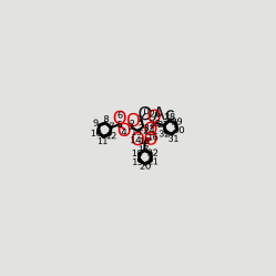 CC(=O)O[C@@H]1O[C@H](OC(=O)c2ccccc2)C(OC(=O)c2ccccc2)C1OC(=O)c1ccccc1